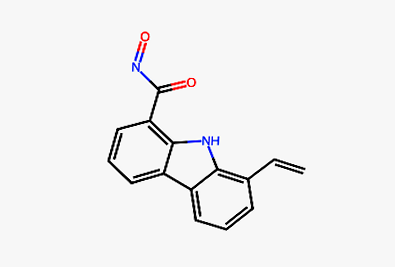 C=Cc1cccc2c1[nH]c1c(C(=O)N=O)cccc12